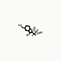 CCOP(=O)(OCC)C(F)(F)c1sc2ccc(CO)cc2c1Br